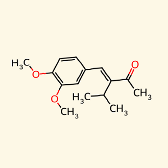 COc1ccc(/C=C(/C(C)=O)C(C)C)cc1OC